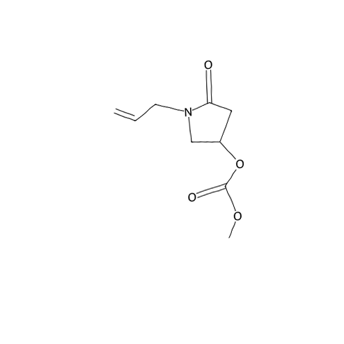 C=CCN1CC(OC(=O)OC)CC1=O